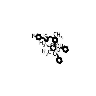 CC[C@H]1OC(O)(c2ccc(C)c(Cc3ccc(-c4ccc(F)cc4)s3)c2)[C@H](OCc2ccccc2)[C@@H](OCc2ccccc2)[C@@H]1C